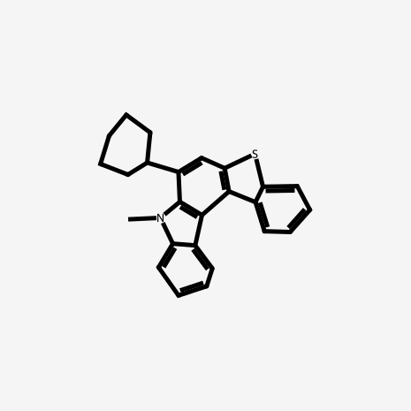 Cn1c2ccccc2c2c3c(cc(C4CCCCC4)c21)sc1ccccc13